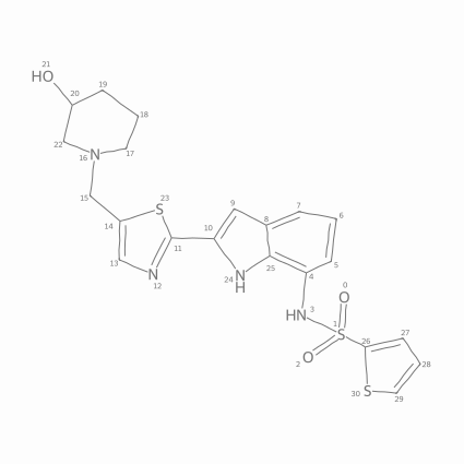 O=S(=O)(Nc1cccc2cc(-c3ncc(CN4CCCC(O)C4)s3)[nH]c12)c1cccs1